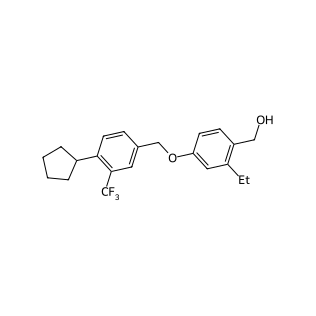 CCc1cc(OCc2ccc(C3CCCC3)c(C(F)(F)F)c2)ccc1CO